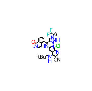 Cn1ccc2c([C@H](Nc3cc(Cl)c4ncc(C#N)c(NCC(C)(C)C)c4c3)C3=CN(C4(C(F)F)CC4)NN3)cccc2c1=O